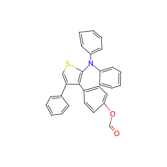 O=COc1ccc(-c2c(-c3ccccc3)csc2N(c2ccccc2)c2ccccc2)cc1